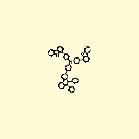 c1ccc(-c2c(-c3ccccc3)c3cc(-c4ccc(N(c5ccc(-c6cccc7c6oc6ccccc67)cc5)c5ccc(-c6cccc7c6oc6ccccc67)cc5)cc4)ccc3c3ccccc23)cc1